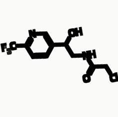 O=C(CCl)NCC(O)c1ccc(C(F)(F)F)nc1